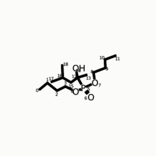 CCCCOP(=O)(OCCCC)C(C)(O)CC(C)C